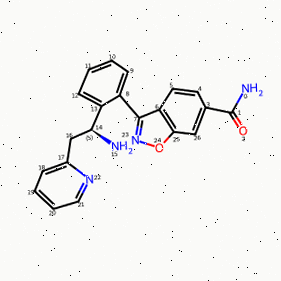 NC(=O)c1ccc2c(-c3ccccc3[C@@H](N)Cc3ccccn3)noc2c1